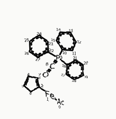 C[C](=O)[Fe][C]1=CC=CC1.O=C=P(c1ccccc1)(c1ccccc1)c1ccccc1